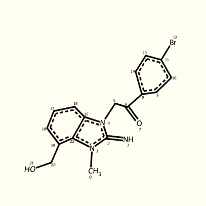 Cn1c(=N)n(CC(=O)c2ccc(Br)cc2)c2cccc(CO)c21